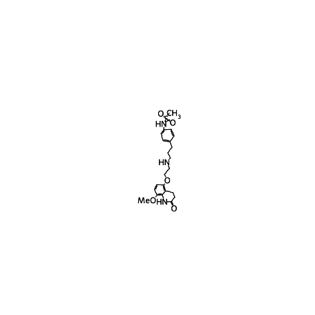 COc1ccc(OCCNCCCc2ccc(NS(C)(=O)=O)cc2)c2c1NC(=O)CC2